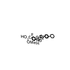 COc1cc(C(=O)O)c(F)cc1NS(=O)(=O)c1ccn(-c2ccc(C3CCCCC3)cc2)n1